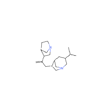 C=C(CC1CN2CC(C(C)C)CC1C2)C1CN2CCC1C2